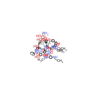 CCCCNc1ccc(NCCCC)c(NC(=O)NC(=O)C[C@@H]2NC(=O)[C@H](NC(=O)[C@@H](CC(C)C)NC)[C@H](O)c3ccc(c(C)c3)Oc3cc4cc(c3O[C@@H]3O[C@H](CN)[C@@H](O)[C@H](O)[C@H]3O)Oc3ccc(cc3Cl)[C@@H](O)[C@@H]3NC(=O)[C@H](NC(=O)[C@@H]4NC2=O)c2ccc(O)c(c2)-c2c(O)cc(O)cc2[C@@H](C(=O)NC2C4CC5CC(C4)CC2C5)NC3=O)c1